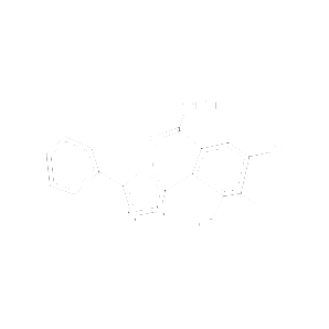 CC(C)COC(=O)c1cc(Cl)c(Cl)c(Cl)c1-c1nnc(-c2ccccc2)o1